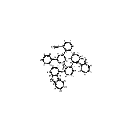 N#Cc1ccccc1-c1cc(-c2ccccc2)cc(-c2c(-c3cccc4oc5ccccc5c34)cccc2-c2cccc3oc4ccccc4c23)c1